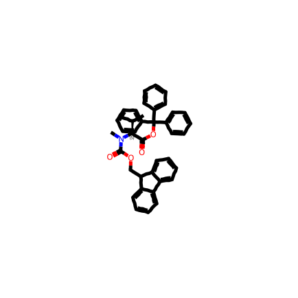 CC(C)[C@@H](C(=O)OC(c1ccccc1)(c1ccccc1)c1ccccc1)N(C)C(=O)OCC1c2ccccc2-c2ccccc21